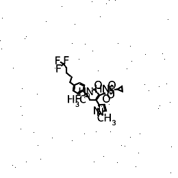 Cn1ccc(C2=C(C(=O)NS(=O)(=O)C3CC3)C(=O)N[C@](C)(c3ccc(CCCCC(F)(F)F)cc3F)C2)n1